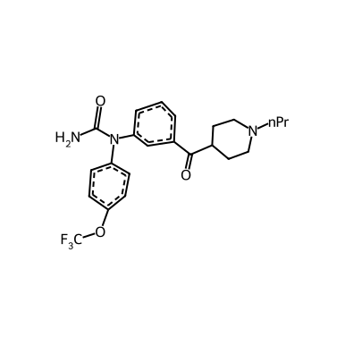 CCCN1CCC(C(=O)c2cccc(N(C(N)=O)c3ccc(OC(F)(F)F)cc3)c2)CC1